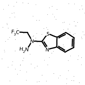 NN(CC(F)(F)F)c1nc2ccccc2s1